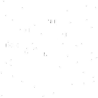 Nc1c(F)c(-c2ccc(F)cc2)nc(OC(=O)O)c1Cl